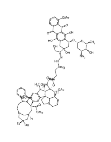 CC[C@]1(O)C[C@H]2CN(CCc3c([nH]c4ccccc34)[C@@](C(=O)OC)(c3cc4c(cc3OC)N(C)[C@@H]3C45CCN4CC=C[C@](CC)(C45)[C@@H](OC(C)=O)[C@]3(OC(=O)CCC(=O)N/N=C(\CO)[C@]3(O)Cc4c(O)c5c(c(O)c4[C@@H](O[C@H]4C[C@H](N)[C@H](O)[C@H](C)O4)C3)C(=O)c3c(OC)cccc3C5=O)C(=O)OC)C2)C1